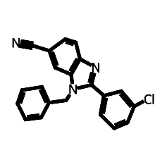 N#Cc1ccc2nc(-c3cccc(Cl)c3)n(Cc3ccccc3)c2c1